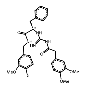 COc1cc(CNC(=O)[C@@H](Cc2ccccc2)NC(=N)NC(=O)Cc2ccc(OC)c(OC)c2)ccc1F